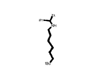 CCC(NCCCCCCC(C)(C)C)C(C)C